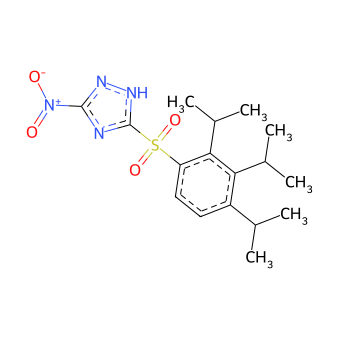 CC(C)c1ccc(S(=O)(=O)c2nc([N+](=O)[O-])n[nH]2)c(C(C)C)c1C(C)C